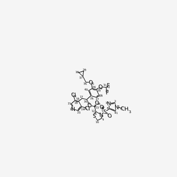 Cn1cnc(S(=O)(=O)N2CCSC2C(=O)OC(Cc2c(Cl)cncc2Cl)c2ccc(OC(F)F)c(OCC3CC3)c2)c1